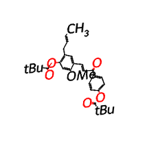 CC=CCc1cc(C=CC(=O)c2ccc(OC(=O)C(C)(C)C)cc2)c(OC)cc1OC(=O)C(C)(C)C